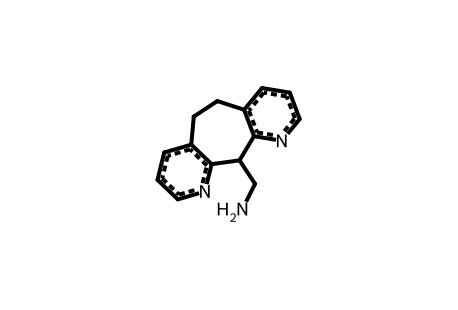 NCC1c2ncccc2CCc2cccnc21